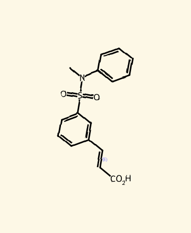 CN(c1ccccc1)S(=O)(=O)c1cccc(/C=C/C(=O)O)c1